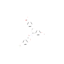 COC(=O)c1ccc([C@H]2C[C@@H](NC(=O)C3(C)COc4cc5c(cc43)OC(F)(F)O5)c3ccc(OC)cc3O2)cc1